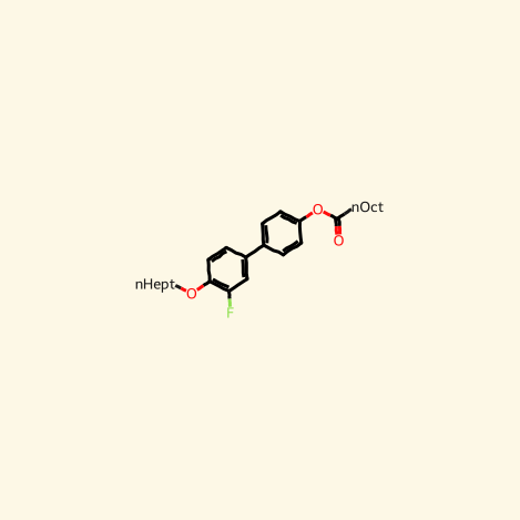 CCCCCCCCC(=O)Oc1ccc(-c2ccc(OCCCCCCC)c(F)c2)cc1